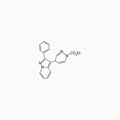 CCOC(=O)N1C=CC(c2c(-c3ccccc3)nn3ccccc23)C=N1